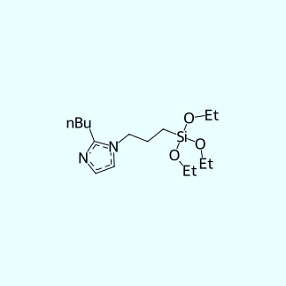 CCCCc1nccn1CCC[Si](OCC)(OCC)OCC